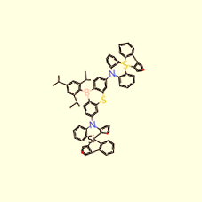 CC(C)c1cc(C(C)C)c(B2c3ccc(N4c5ccccc5[Si]5(c6ccccc6-c6ccccc65)c5ccccc54)cc3Sc3cc(N4c5ccccc5S5(c6ccccc6-c6ccccc65)c5ccccc54)ccc32)c(C(C)C)c1